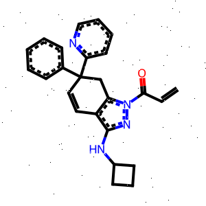 C=CC(=O)n1nc(NC2CCC2)c2c1CC(c1ccccc1)(c1ccccn1)C=C2